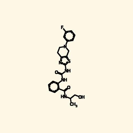 CC(CO)NC(=O)c1ccccc1NC(=O)Nc1nc2c(s1)CN(c1cccc(F)c1)CC2